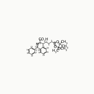 CC1(C)OB(CCCCC(N=C(c2ccccc2)c2ccccc2)C(=O)O)OC1(C)C